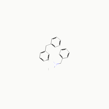 CN(C)Cc1ccccc1.c1ccc(Cc2ccccc2)cc1